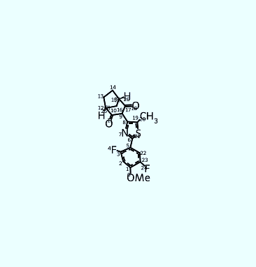 COc1cc(F)c(-c2nc(C3C(=O)[C@@H]4CC[C@@H](C4)C3=O)c(C)s2)cc1F